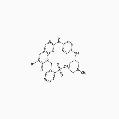 CN1CCCC(Nc2ccc(Nc3ncc4cc(Br)c(=O)n(Cc5cnccc5S(C)(=O)=O)c4n3)cc2)C1